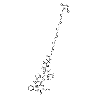 C=CCOC(=O)[C@H](Cc1ccccc1)NC(=O)[C@H](C)[C@@H](OC)[C@@H]1CCCN1C(=O)C[C@@H](OC)[C@H]([C@@H](C)CC)N(C)C(=O)[C@@H](NC(=O)C(C)(C)N(C)C(=O)CCOCCOCCOCCOCCOCCOCCN1C(=O)C=CC1=O)C(C)C